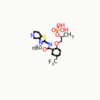 CCCCn1c(=NC(=O)c2cc(C(F)(F)F)ccc2OC[C@H](C)OP(=O)(O)O)sc2ccncc21